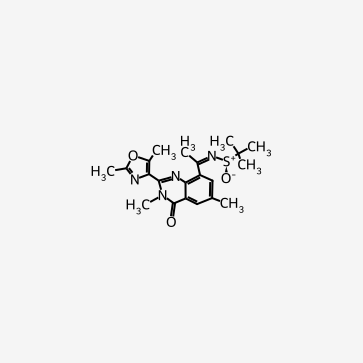 C/C(=N/[S@+]([O-])C(C)(C)C)c1cc(C)cc2c(=O)n(C)c(-c3nc(C)oc3C)nc12